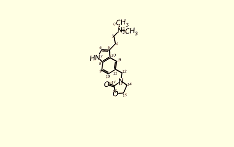 CN(C)CCc1c[nH]c2ccc(CN3CCOC3=O)cc12